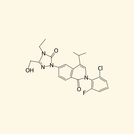 CCn1c(CO)nn(-c2ccc3c(=O)n(-c4c(F)cccc4Cl)cc(C(C)C)c3c2)c1=O